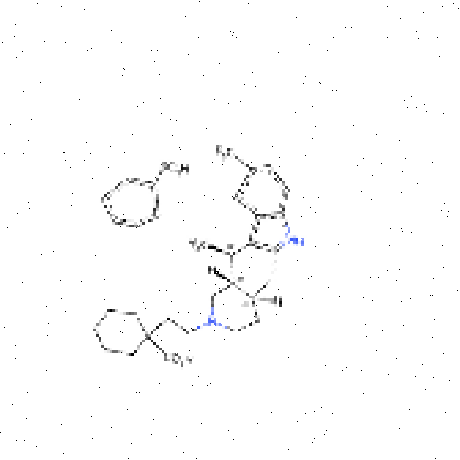 C[C@H]1c2c([nH]c3ccc(C(F)(F)F)cc23)C[C@H]2CCN(CCC3(C(=O)O)CCCCC3)C[C@@H]21.O=S(=O)(O)c1ccccc1